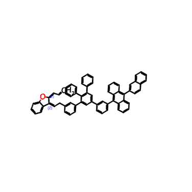 C=C/C=c1/oc2ccccc2/c1=C/Cc1cccc(-c2cc(-c3cccc(-c4c5ccccc5c(-c5ccc6ccccc6c5)c5ccccc45)c3)cc(-c3ccccc3)c2-c2ccccc2)c1